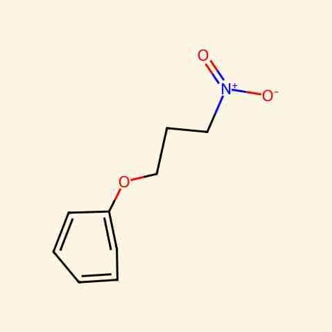 O=[N+]([O-])CCCOc1ccccc1